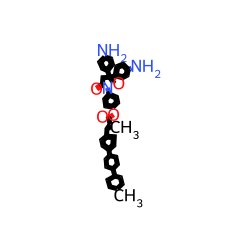 C/C(=C\c1ccc(C2CCC(C3CCC(C)CC3)CC2)cc1)C(=O)Oc1ccc(N2C(=O)CC(c3ccc(N)cc3)(c3ccc(N)cc3)C2=O)cc1